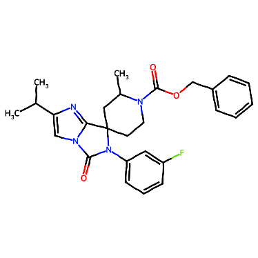 CC(C)c1cn2c(n1)C1(CCN(C(=O)OCc3ccccc3)C(C)C1)N(c1cccc(F)c1)C2=O